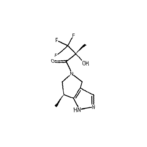 C[C@H]1CN(C(=O)[C@@](C)(O)C(F)(F)F)Cc2cn[nH]c21